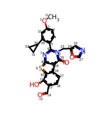 COc1ccc(-c2nc3sc4c(O)c(C=O)ccc4c3c(=O)n2Cc2cnco2)c(C2CC2)c1